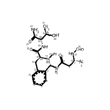 CC(=O)[C@H](CC(=O)NCc1ccccc1C[C@H](NC(C)C)C(=O)N[C@H](C(N)=O)[C@@H](C)O)NC=O